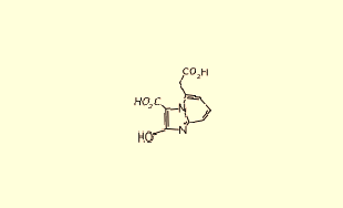 O=C(O)Cc1cccc2nc(O)c(C(=O)O)n12